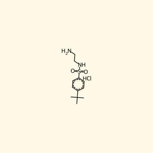 CC(C)(C)c1ccc(S(=O)(=O)NCCN)cc1.Cl